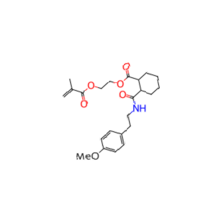 C=C(C)C(=O)OCCOC(=O)C1CCCCC1C(=O)NCCc1ccc(OC)cc1